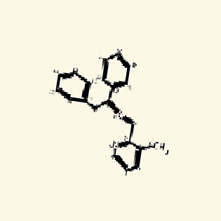 Cc1cccnc1C=C=C(Cc1ccccc1)c1ccccc1